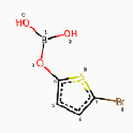 OB(O)Oc1ccc(Br)s1